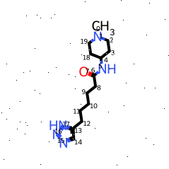 CN1CCC(NC(=O)CCCCCc2cnn[nH]2)CC1